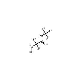 O=C(OC(F)(F)F)C(F)(F)OF